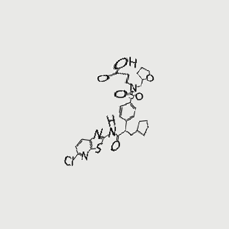 O=C(O)CCN(CC1CCCO1)S(=O)(=O)c1ccc([C@@H](CC2CCCC2)C(=O)Nc2nc3ccc(Cl)nc3s2)cc1